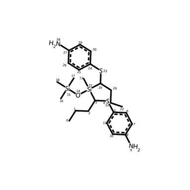 CCCC(Sc1ccc(N)cc1)[Si](C)(O[Si](C)(C)C)C(CCC)Sc1ccc(N)cc1